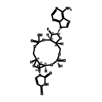 Nc1ncnc2c1ncn2[C@@H]1O[C@@H]2CO[P@](=O)(S)O[C@@H]3[C@H](F)[C@@H](COP(=O)(O)O[C@H]2[C@H]1F)O[C@H]3n1ccc(=O)[nH]c1=O